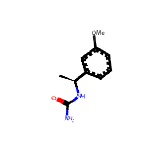 COc1cccc([C@H](C)NC(N)=O)c1